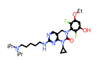 CCOc1cc(O)c(F)c(N2Cc3cnc(NCCCCCN(C(C)C)C(C)C)nc3N(C3CC3)C2=O)c1F